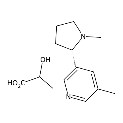 CC(O)C(=O)O.Cc1cncc([C@@H]2CCCN2C)c1